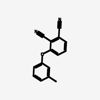 Cc1cccc(Oc2cccc(C#N)c2C#N)c1